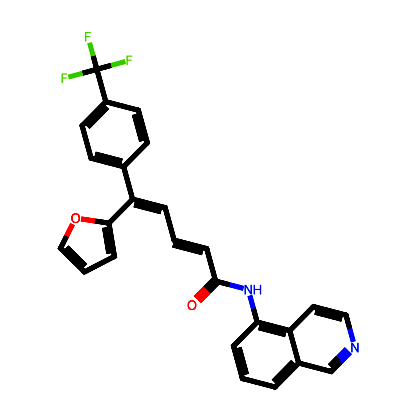 O=C(/C=C/C=C(/c1ccc(C(F)(F)F)cc1)c1ccco1)Nc1cccc2cnccc12